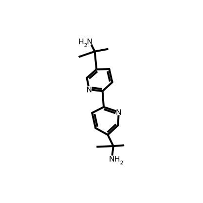 CC(C)(N)c1ccc(-c2ccc(C(C)(C)N)cn2)nc1